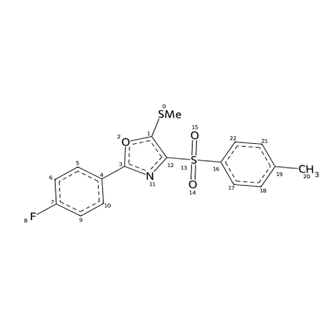 CSc1oc(-c2ccc(F)cc2)nc1S(=O)(=O)c1ccc(C)cc1